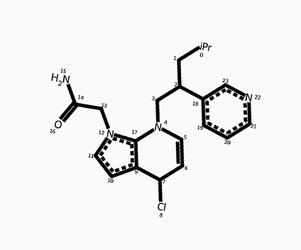 CC(C)CC(CN1C=CC(Cl)c2ccn(CC(N)=O)c21)c1cccnc1